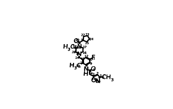 Cc1cc(CC(=O)Nc2cc(F)cc(CN3CCN(C(=O)C4CCCC4)C(C)C3)c2C)on1